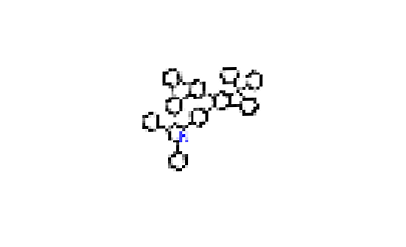 c1ccc(-c2cc(-c3ccccc3)nc(-c3ccc(-c4cc5c(cc4-c4ccc6c7ccccc7c7ccccc7c6c4)C(c4ccccc4)(c4ccccc4)c4ccccc4-5)cc3)c2)cc1